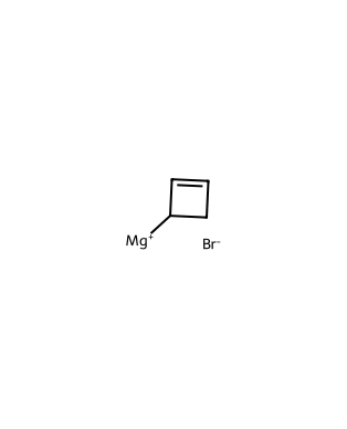 [Br-].[Mg+][CH]1C=CC1